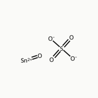 O=S(=O)([O-])[O-].[O]=[Sn+2]